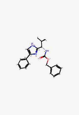 CC(C)[C@H](NC(=O)OCc1ccccc1)c1nc(-c2ccccc2)c[nH]1